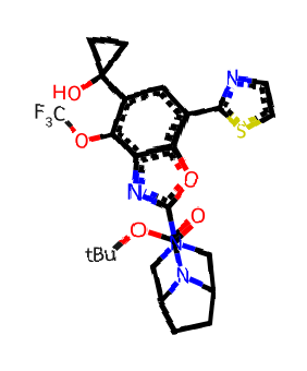 CC(C)(C)OC(=O)N1C2CCC1CN(c1nc3c(OC(F)(F)F)c(C4(O)CC4)cc(-c4nccs4)c3o1)C2